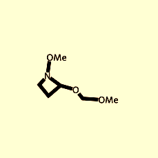 COCOC1CCN1OC